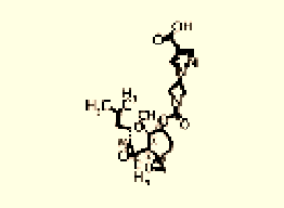 CO[C@@H]1[C@H](OC(=O)N2CC(n3cc(C(=O)O)cn3)C2)CC[C@]2(CO2)[C@H]1[C@@]1(C)O[C@@H]1CC=C(C)C